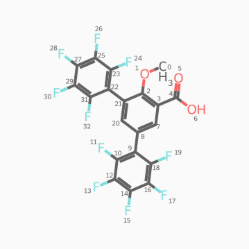 COc1c(C(=O)O)cc(-c2c(F)c(F)c(F)c(F)c2F)cc1-c1c(F)c(F)c(F)c(F)c1F